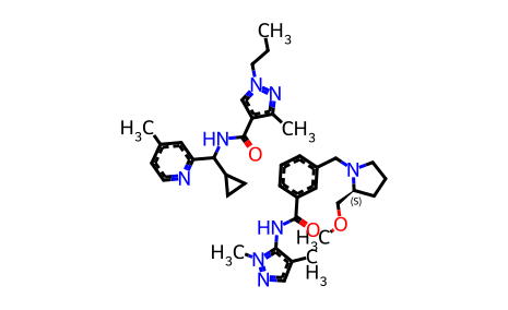 CCCn1cc(C(=O)NC(c2cc(C)ccn2)C2CC2)c(C)n1.COC[C@@H]1CCCN1Cc1cccc(C(=O)Nc2c(C)cnn2C)c1